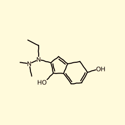 CCN(C1=C(O)C2=CC=C(O)CC2=C1)N(C)C